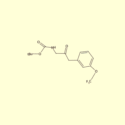 CC(C)(C)OC(=O)NCC(=O)Cc1cccc(OC(F)(F)F)c1